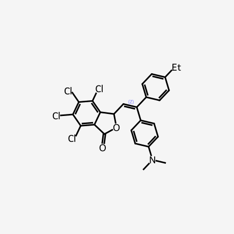 CCc1ccc(/C(=C/C2OC(=O)c3c(Cl)c(Cl)c(Cl)c(Cl)c32)c2ccc(N(C)C)cc2)cc1